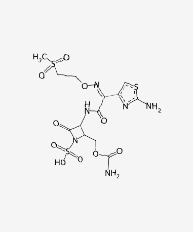 CS(=O)(=O)CCO/N=C(\C(=O)NC1C(=O)N(S(=O)(=O)O)C1COC(N)=O)c1csc(N)n1